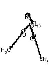 CCCCCCCCCCCCCC(=O)OCCCCCC(O)C(CCCCOC(=O)CCCCCCCCCCCCC)CN(C)CCCn1cccn1